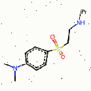 CC(C)NCCS(=O)(=O)c1ccc(N(C)C)cc1